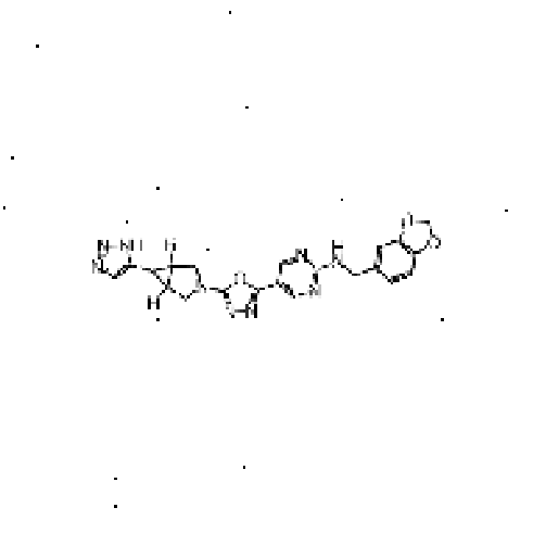 c1cc2c(cc1CNc1ncc(-c3nnc(N4C[C@@H]5C(c6cnn[nH]6)[C@@H]5C4)o3)cn1)OCO2